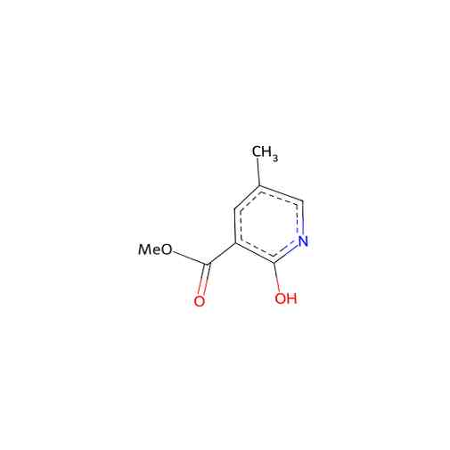 COC(=O)c1cc(C)cnc1O